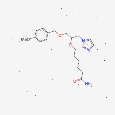 COc1ccc(COCC(Cn2ccnc2)OCCCCCC(N)=O)cc1